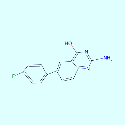 Nc1nc(O)c2cc(-c3ccc(F)cc3)ccc2n1